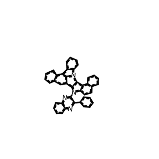 c1ccc(-c2nc3ccccc3nc2-n2c3ccc4ccccc4c3c3c2c2cc4ccccc4c4c5ccccc5n3c24)cc1